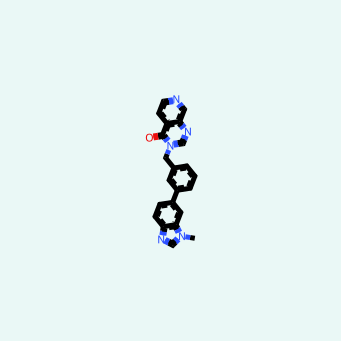 Cn1cnc2ccc(-c3cccc(Cn4cnc5cnccc5c4=O)c3)cc21